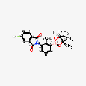 Cc1c(B2OC(C)(C)C(C)(C)O2)cccc1N1C(=O)c2ccc(F)cc2C1=O